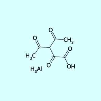 CC(=O)C(C(C)=O)C(=O)C(=O)O.[AlH3]